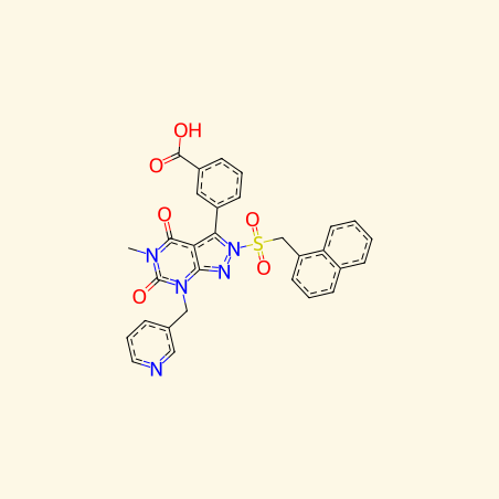 Cn1c(=O)c2c(-c3cccc(C(=O)O)c3)n(S(=O)(=O)Cc3cccc4ccccc34)nc2n(Cc2cccnc2)c1=O